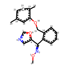 CON=C(c1cnco1)c1ccccc1COc1cc(C)ccc1C